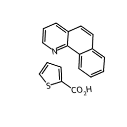 O=C(O)c1cccs1.c1ccc2c(c1)ccc1cccnc12